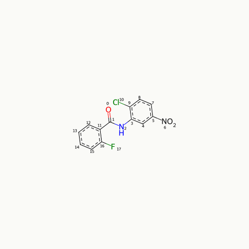 O=C(Nc1cc([N+](=O)[O-])ccc1Cl)c1ccccc1F